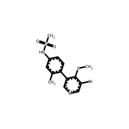 CSc1c(Br)cncc1-c1ccc(NS(C)(=O)=O)cc1C